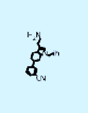 CC(C)Cn1cc(CCN)c2ccc(-c3cccc(C#N)c3)cc21